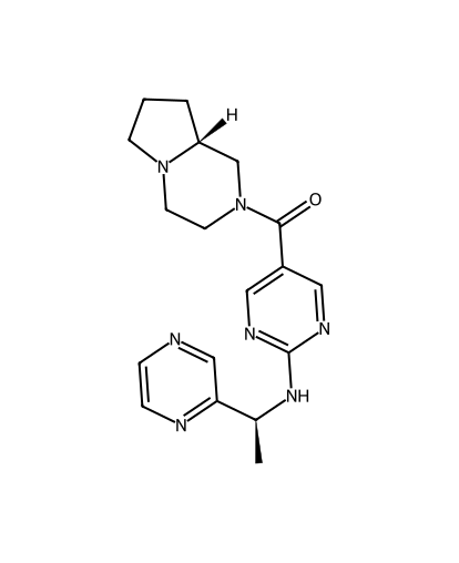 C[C@H](Nc1ncc(C(=O)N2CCN3CCC[C@@H]3C2)cn1)c1cnccn1